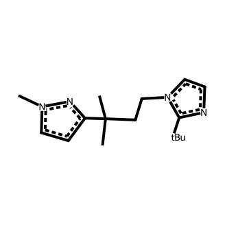 Cn1ccc(C(C)(C)CCn2ccnc2C(C)(C)C)n1